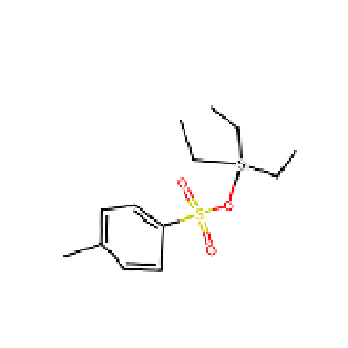 CC[Si](CC)(CC)OS(=O)(=O)c1ccc(C)cc1